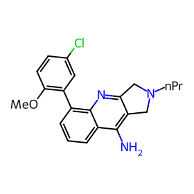 CCCN1Cc2nc3c(-c4cc(Cl)ccc4OC)cccc3c(N)c2C1